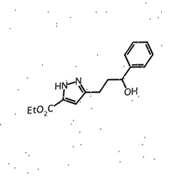 CCOC(=O)c1cc(CCC(O)c2ccccc2)n[nH]1